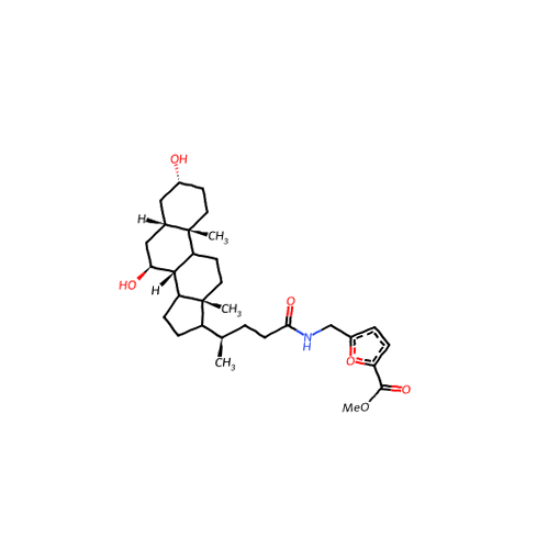 COC(=O)c1ccc(CNC(=O)CC[C@@H](C)C2CCC3[C@H]4C(CC[C@@]32C)[C@@]2(C)CC[C@@H](O)C[C@H]2C[C@@H]4O)o1